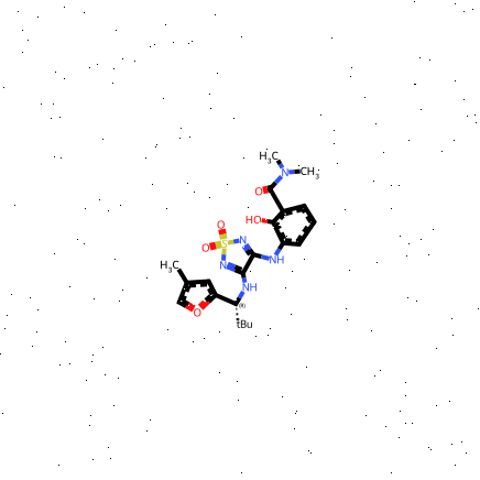 Cc1coc([C@H](NC2=NS(=O)(=O)N=C2Nc2cccc(C(=O)N(C)C)c2O)C(C)(C)C)c1